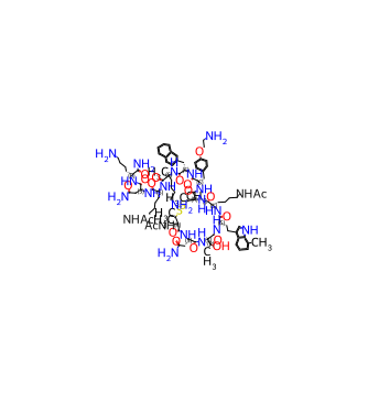 CC(=O)NCCCC[C@@H]1NC(=O)[C@H](CCc2c[nH]c3c(C)cccc23)NC(=O)[C@H]([C@@H](C)O)NC(=O)[C@H](CC(N)=O)NC(=O)[C@@H](NC(C)=O)C(C)(C)SSC(C)(C)[C@@H](C(=O)N[C@@H](Cc2ccc(OCCN)cc2)C(=O)N[C@@H](Cc2ccc3ccccc3c2)C(=O)N[C@@](C)(CCCCN)C(=O)N[C@@H](CCCCNC(C)=O)C(=O)N[C@@H](CC(N)=O)C(=O)N[C@H](CCCCN)C(N)=O)NC1=O